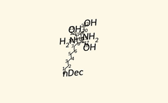 CCCCCCCCCCCCCCCCCCC(N)(CCO)C(N)(CCO)CCCO